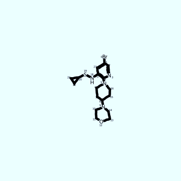 Brc1cnc(N2CCC(N3CCOCC3)CC2)c(NSC2CC2)c1